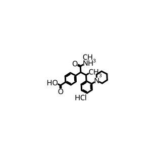 CNC(=O)C(c1ccc(C(=O)O)cc1)C(C)c1ccccc1N1CCCCC1.Cl